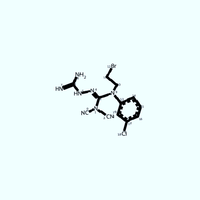 N#CN(C#N)C(=NNC(=N)N)N(CCBr)c1cccc(Cl)c1